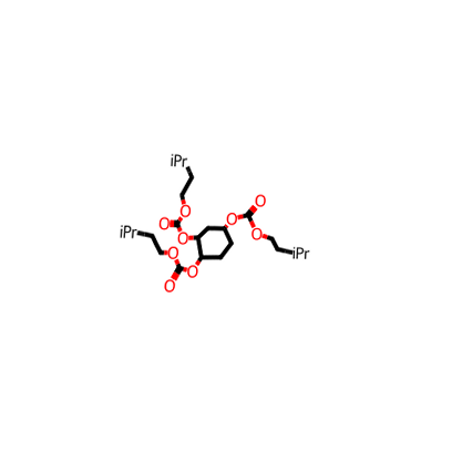 CC(C)CCOC(=O)OC1CCC(OC(=O)OCCC(C)C)C(OC(=O)OCCC(C)C)C1